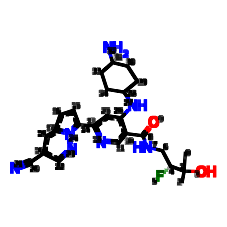 CC(C)(O)[C@H](F)CNC(=O)c1cnc(-c2ccc3cc(C#N)cnn23)cc1NC1CCC(N)CC1